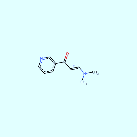 CN(C)/C=C/C(=O)c1cccnc1